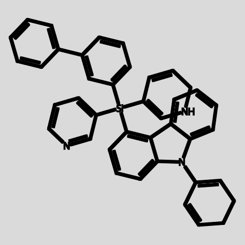 C1=CC(n2c3ccccc3c3c([Si](C4=CNCC=C4)(c4cccnc4)c4cccc(-c5ccccc5)c4)cccc32)=CCC1